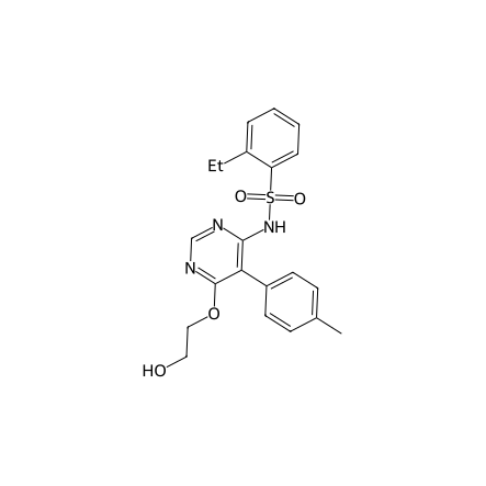 CCc1ccccc1S(=O)(=O)Nc1ncnc(OCCO)c1-c1ccc(C)cc1